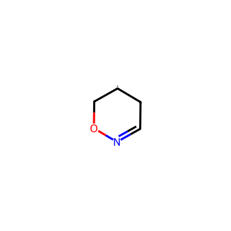 [CH]1CC=NOC1